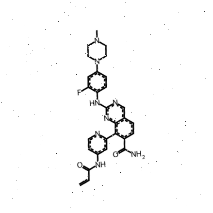 C=CC(=O)Nc1ccnc(-c2c(C(N)=O)ccc3cnc(Nc4ccc(N5CCN(C)CC5)cc4F)nc23)c1